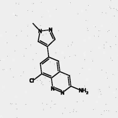 Cn1cc(-c2cc(Cl)c3nnc(N)cc3c2)cn1